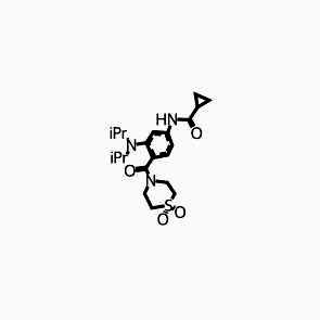 CC(C)N(c1cc(NC(=O)C2CC2)ccc1C(=O)N1CCS(=O)(=O)CC1)C(C)C